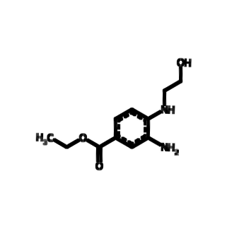 CCOC(=O)c1ccc(NCCO)c(N)c1